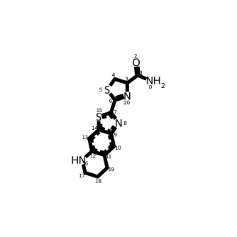 NC(=O)C1CSC(c2nc3cc4c(cc3s2)NCCC4)=N1